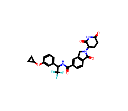 O=C1CCC(N2Cc3cc(C(=O)NC(c4cccc(OC5CC5)c4)C(F)(F)F)ccc3C2=O)C(=O)N1